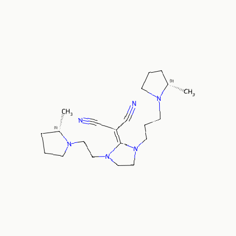 C[C@H]1CCCN1CCCN1CCN(CCN2CCC[C@@H]2C)C1=C(C#N)C#N